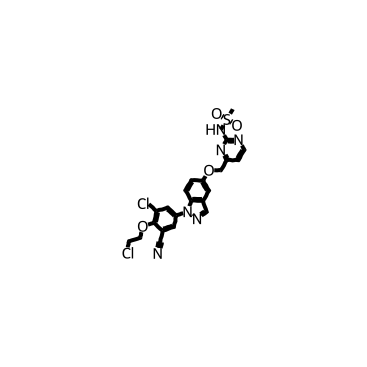 CS(=O)(=O)Nc1nccc(COc2ccc3c(cnn3-c3cc(Cl)c(OCCCl)c(C#N)c3)c2)n1